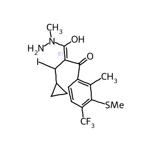 CSc1c(C(F)(F)F)ccc(C(=O)/C(=C(\O)N(C)N)C(I)C2CC2)c1C